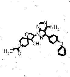 C=CC(=O)N1CCC2(CC1)OCC(n1nc(-c3ccc(Oc4ccccc4)cc3)c3c(N)ncnc31)C2C